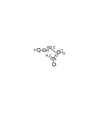 Cc1oc(-c2ccccc2)nc1COc1cc2c(cc1C=CCCC(Oc1ccc(-c3ccc(F)cc3)cc1)C(=O)O)CCC2=O